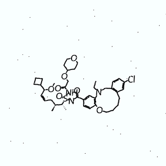 CCN1Cc2ccc(Cl)cc2CCCCOc2ccc(C(=O)N=S(=O)(NC(=O)COC3CCOCC3)[C@H](C)[C@@H](C)C/C=C\[C@H](OC)C3CCC3)cc21